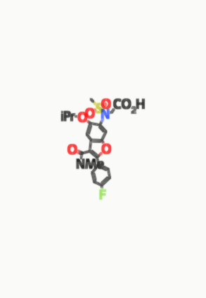 CNC(=O)c1c(-c2ccc(F)cc2)oc2cc(N(CC(=O)O)S(C)(=O)=O)c(OC(C)C)cc12